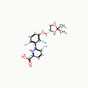 CC1(C)OC[C@@H](COc2ccc(F)c(-c3nc(C(=O)O)ccc3F)c2F)O1